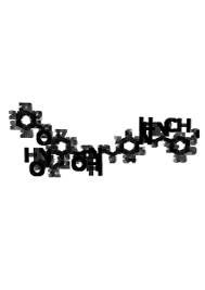 CNC(CNc1ccc(CCNC[C@H](O)c2ccc(OCc3ccccc3)c3[nH]c(=O)ccc23)cc1)c1ccccc1